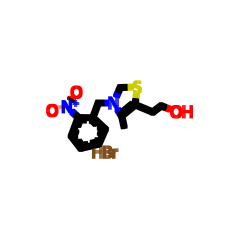 Br.CC1=C(CCO)SCN1Cc1ccccc1[N+](=O)[O-]